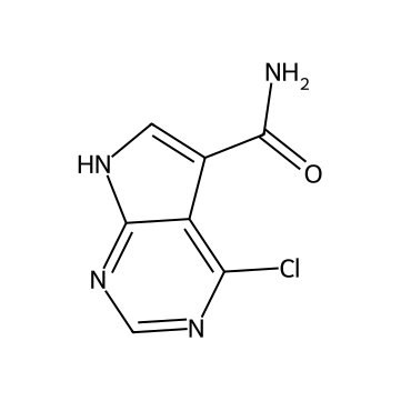 NC(=O)c1c[nH]c2ncnc(Cl)c12